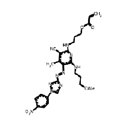 C=CC(=O)OCCCNc1nc(NCCCOC)c(N=Nc2ncn(-c3ccc([N+](=O)[O-])cc3)n2)c(C)c1C#N